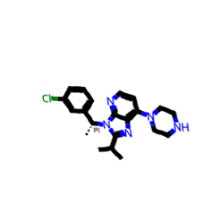 CC(C)c1nc2c(N3CCNCC3)ccnc2n1[C@H](C)c1cccc(Cl)c1